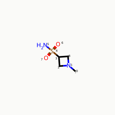 [CH2]N1CC(S(N)(=O)=O)C1